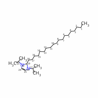 CCCCCCCCCCCCCCCCCCCC1N(C(C)C)C=CN1C(C)C